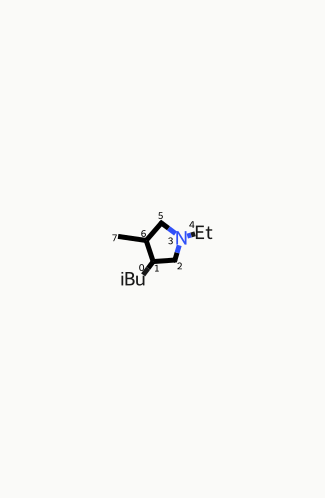 CCC(C)C1CN(CC)CC1C